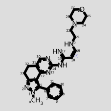 Cn1nc2c(c1-c1ccccc1)-c1nc(NC(=N)/C=C\NCCN3CCOCC3)ncc1CC2